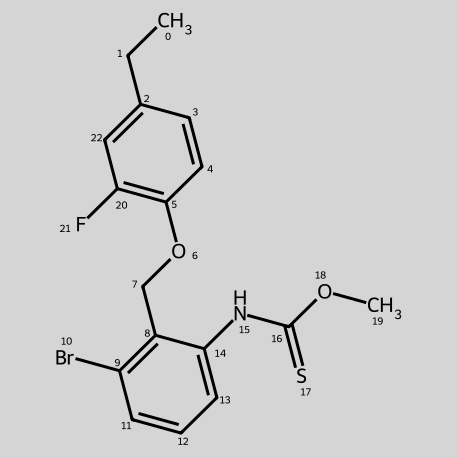 CCc1ccc(OCc2c(Br)cccc2NC(=S)OC)c(F)c1